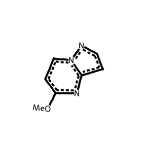 COc1ccn2nccc2n1